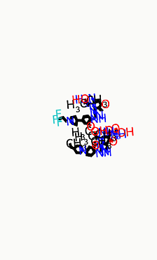 CCC1CCN(c2ccc(Nc3ncc4c(=O)c(C(=O)NC(=O)O)c(N)n(CC(C)(C)O)c4n3)c(OC)c2)CC1.COc1cc(C2CCN(CCC(F)(F)F)CC2)ccc1Nc1ncc2c(=O)cc(N)n(CC(C)(C)O)c2n1